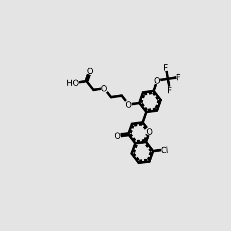 O=C(O)COCCOc1cc(OC(F)(F)F)ccc1-c1cc(=O)c2cccc(Cl)c2o1